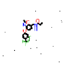 C=CC(=O)NCc1ccc(Oc2ccc(C(F)(F)F)c(F)c2)c2nc(C)oc12